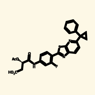 CC(=O)O[C@@H](CC(=O)O)C(=O)Nc1ccc(-c2nc3ccc(C4(c5ccccc5)CC4)nc3s2)c(F)c1